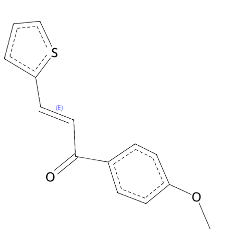 COc1ccc(C(=O)/C=C/c2cccs2)cc1